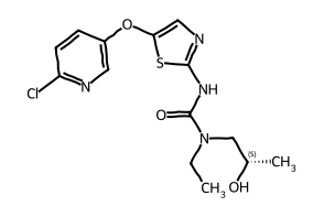 CCN(C[C@H](C)O)C(=O)Nc1ncc(Oc2ccc(Cl)nc2)s1